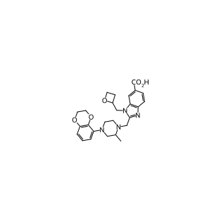 CC1CN(c2cccc3c2OCCO3)CCN1Cc1nc2ccc(C(=O)O)cc2n1CC1CCO1